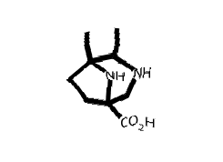 CC1NCC2(C(=O)O)CCC1(C)N2